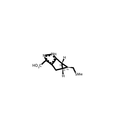 CSC[C@H]1[C@@H]2Cc3c(C(=O)O)n[nH]c3[C@H]12